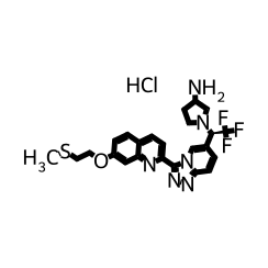 CSCCOc1ccc2ccc(-c3nnc4ccc([C@@H](N5CCC(N)C5)C(F)(F)F)cn34)nc2c1.Cl